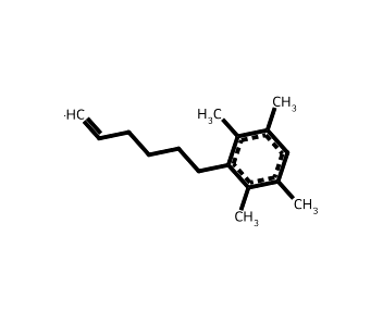 [CH]=CCCCCc1c(C)c(C)cc(C)c1C